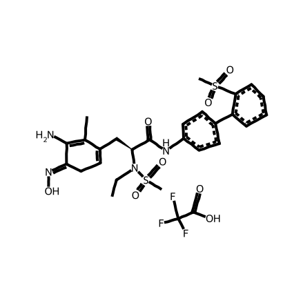 CCN([C@@H](CC1=CCC(=NO)C(N)=C1C)C(=O)Nc1ccc(-c2ccccc2S(C)(=O)=O)cc1)S(C)(=O)=O.O=C(O)C(F)(F)F